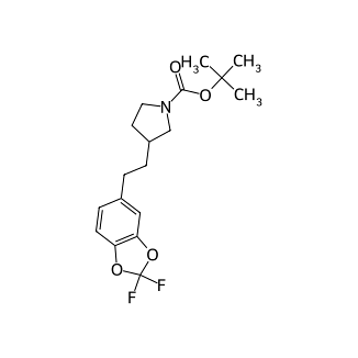 CC(C)(C)OC(=O)N1CCC(CCc2ccc3c(c2)OC(F)(F)O3)C1